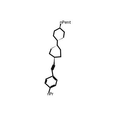 CCCCC[C@H]1CC[C@H]([C@H]2CC[C@H](C#Cc3ccc(CCC)cc3)CC2)CC1